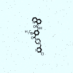 COc1cc(N[S+]([O-])c2cccc3cccnc23)ccc1C(=O)N1CCN(Cc2cncc(Cl)c2)CC1